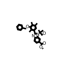 COC(=O)c1ccc2nc(-c3cc(C)c(C)c(OCc4ccccc4)c3C)n(C3(C)COC3)c2c1